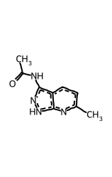 CC(=O)Nc1n[nH]c2nc(C)ccc12